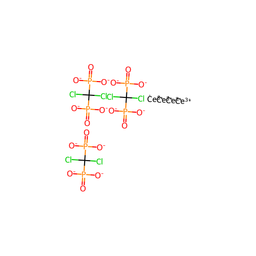 O=P([O-])([O-])C(Cl)(Cl)P(=O)([O-])[O-].O=P([O-])([O-])C(Cl)(Cl)P(=O)([O-])[O-].O=P([O-])([O-])C(Cl)(Cl)P(=O)([O-])[O-].[Ce+3].[Ce+3].[Ce+3].[Ce+3]